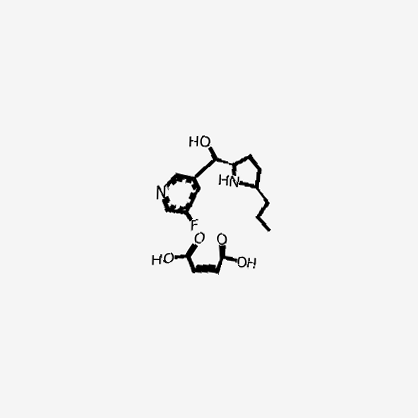 CCC[C@@H]1CC[C@H](C(O)c2cncc(F)c2)N1.O=C(O)/C=C\C(=O)O